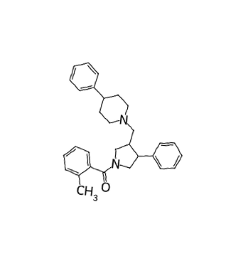 Cc1ccccc1C(=O)N1CC(CN2CCC(c3ccccc3)CC2)C(c2ccccc2)C1